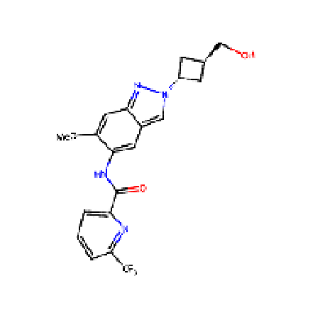 COc1cc2nn([C@H]3C[C@H](CO)C3)cc2cc1NC(=O)c1cccc(C(F)(F)F)n1